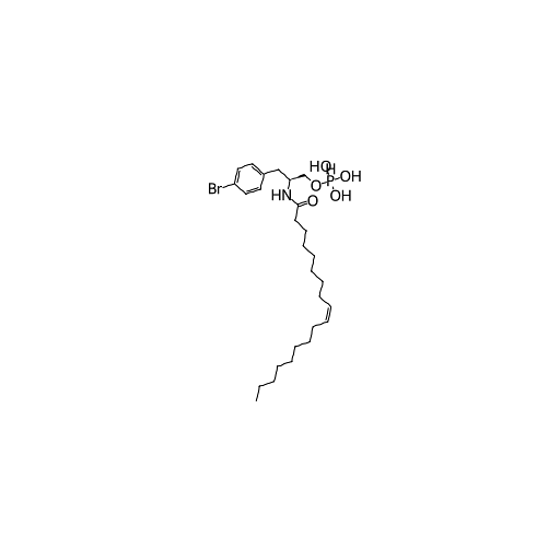 CCCCCCCC/C=C\CCCCCCCC(=O)N[C@H](CO[PH](O)(O)O)Cc1ccc(Br)cc1